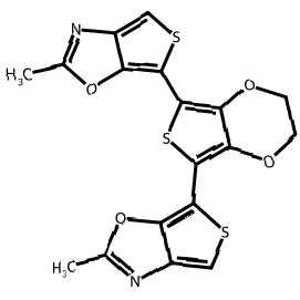 Cc1nc2csc(-c3sc(-c4scc5nc(C)oc45)c4c3OCCO4)c2o1